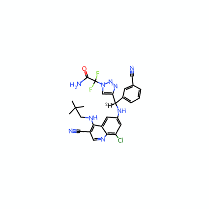 [2H][C@](Nc1cc(Cl)c2ncc(C#N)c(NCC(C)(C)C)c2c1)(c1cccc(C#N)c1)c1cn(C(F)(F)C(N)=O)nn1